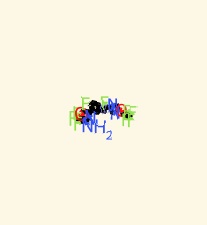 CC1(C(F)(F)F)OCC(c2cc(/C=C(\F)c3cnc(OCC(F)(F)C(F)F)cn3)ccc2F)N=C1N